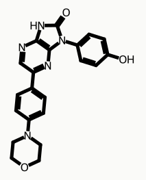 O=c1[nH]c2ncc(-c3ccc(N4CCOCC4)cc3)nc2n1-c1ccc(O)cc1